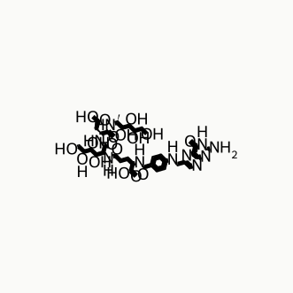 C[C@@H](NC(=O)[C@H](CC(=O)O)NC(=O)[C@@H](NC(=O)CCC(NC(=O)c1ccc(NCc2cnc3nc(N)[nH]c(=O)c3n2)cc1)C(=O)O)[C@@H](O)[C@H](O)[C@H](O)CO)[C@@H](O)[C@H](O)[C@H](O)CO